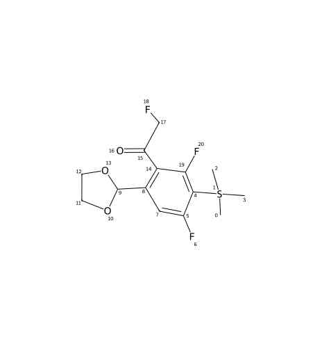 CS(C)(C)c1c(F)cc(C2OCCO2)c(C(=O)CF)c1F